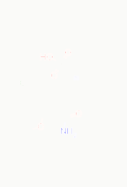 COc1cc(Cl)ccc1C(N)=O.O=S(=O)(O)/C=C/c1ccsc1